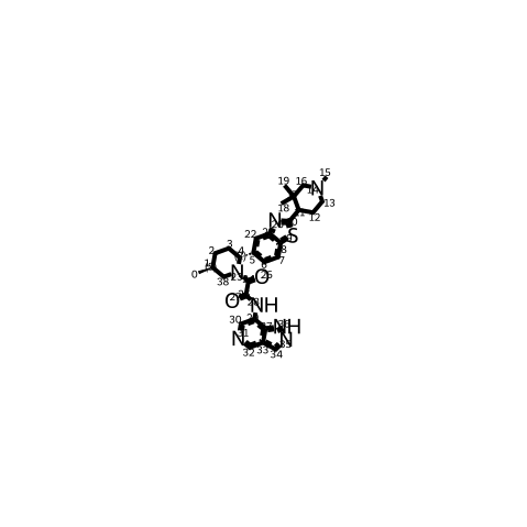 C[C@H]1CC[C@H](c2ccc3sc(C4CCN(C)CC4(C)C)nc3c2)N(C(=O)C(=O)Nc2cncc3cn[nH]c23)C1